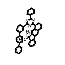 CC1(C)c2ccccc2-c2cc3cccc(-c4nc(-c5ccccc5)nc(-c5cccc(-c6ccc(-c7ccccc7)cc6)c5)n4)c3cc21